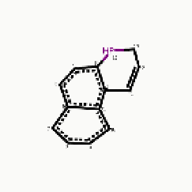 C1=Cc2c(ccc3ccccc23)PC1